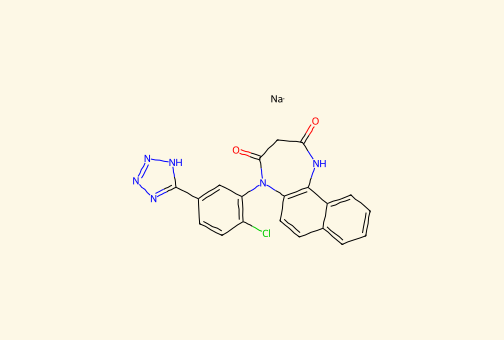 O=C1CC(=O)N(c2cc(-c3nnn[nH]3)ccc2Cl)c2ccc3ccccc3c2N1.[Na]